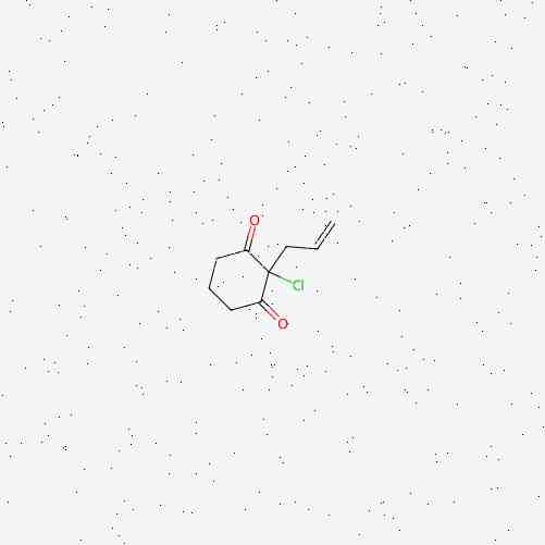 C=CCC1(Cl)C(=O)CCCC1=O